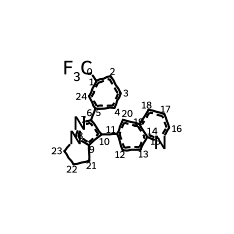 FC(F)(F)c1cccc(-c2nn3c(c2-c2ccc4ncccc4c2)CCC3)c1